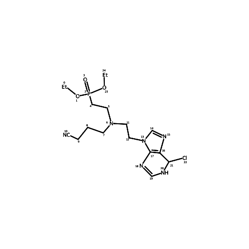 CCOP(=O)(CCN(CCCC#N)CCn1cnc2c1N=CNC2Cl)OCC